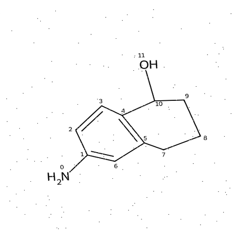 Nc1ccc2c(c1)CCCC2O